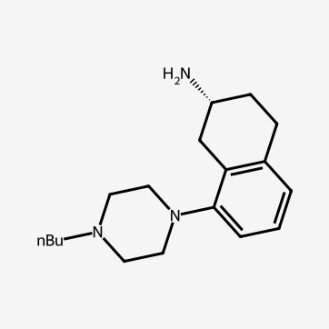 CCCCN1CCN(c2cccc3c2C[C@H](N)CC3)CC1